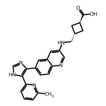 Cc1cccc(-c2[nH]cnc2-c2ccc3ncc(NC[C@H]4C[C@H](C(=O)O)C4)cc3c2)n1